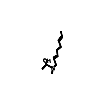 CC=CCCC=CCN(C)C(C)O